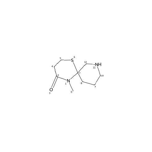 CN1C(=O)CCSC12CCCNC2